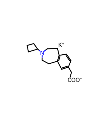 O=C([O-])Cc1ccc2c(c1)CCN(C1CCC1)CC2.[K+]